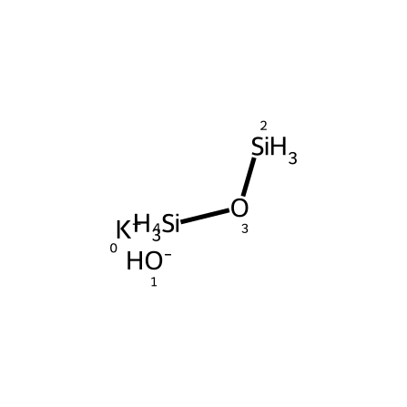 [K+].[OH-].[SiH3]O[SiH3]